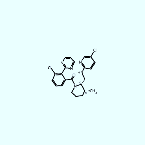 C[C@@H]1CCCN(C(=O)c2cccc(Cl)c2-c2ncccn2)[C@@H]1CNc1ccc(Cl)cn1